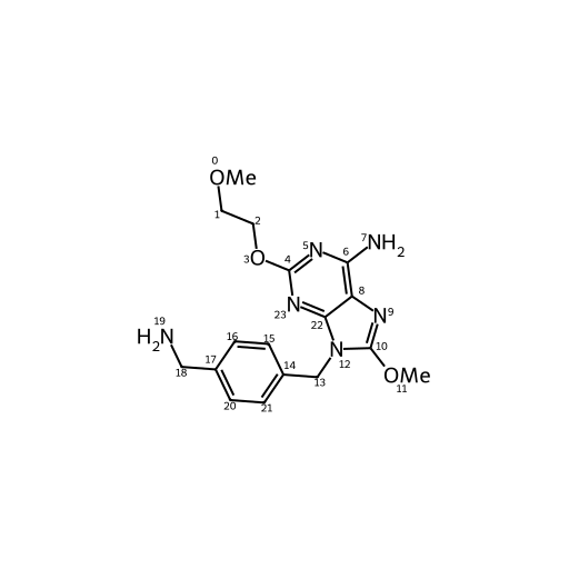 COCCOc1nc(N)c2nc(OC)n(Cc3ccc(CN)cc3)c2n1